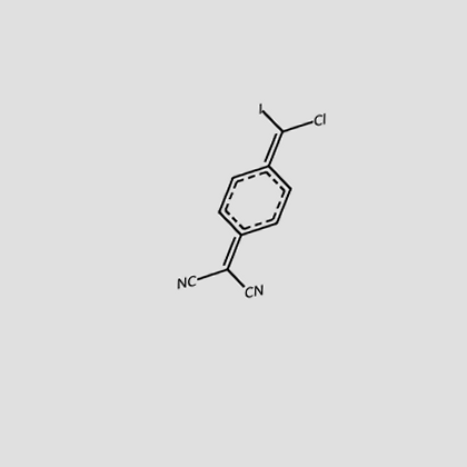 N#CC(C#N)=c1ccc(=C(Cl)I)cc1